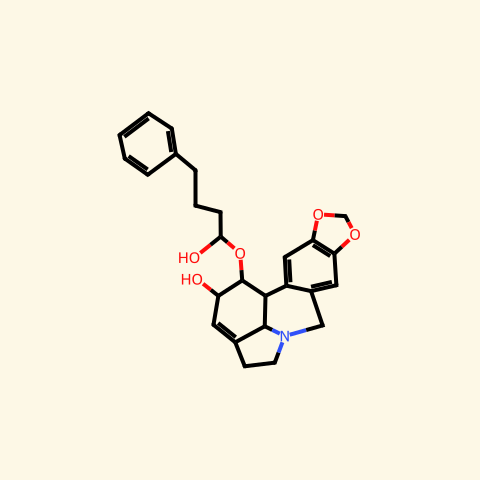 OC(CCCc1ccccc1)OC1C(O)C=C2CCN3Cc4cc5c(cc4C1C23)OCO5